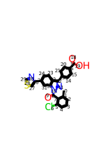 Cc1cccc(Cl)c1C(=O)n1nc(-c2ccc(C(=O)O)cc2)c2ccc(-c3cscn3)cc21